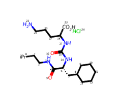 CC(C)CCNC(=O)[C@@H](CC1CCCCC1)NC(=O)NC(CCCN)C(=O)O.Cl